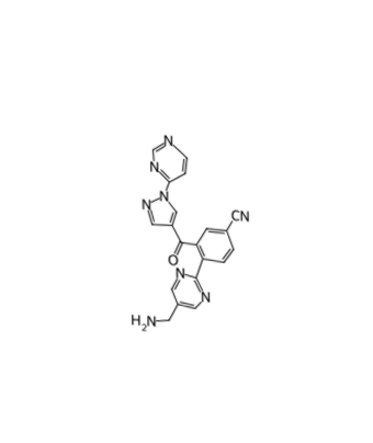 N#Cc1ccc(-c2ncc(CN)cn2)c(C(=O)c2cnn(-c3ccncn3)c2)c1